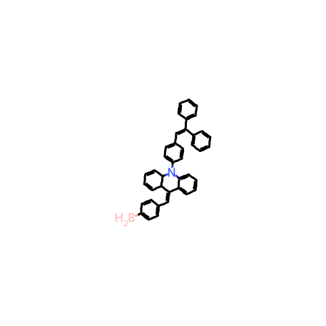 Bc1ccc(/C=C2/c3ccccc3N(c3ccc(C=C(c4ccccc4)c4ccccc4)cc3)C3C=CC=CC23)cc1